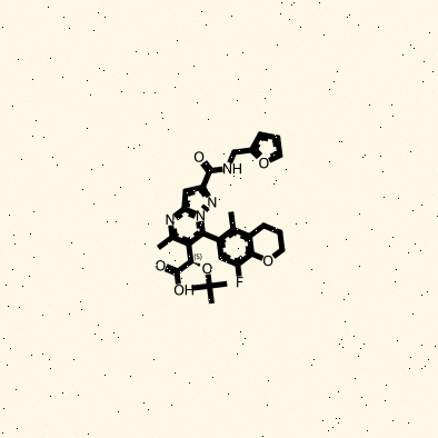 Cc1nc2cc(C(=O)NCc3ccco3)nn2c(-c2cc(F)c3c(c2C)CCCO3)c1[C@H](OC(C)(C)C)C(=O)O